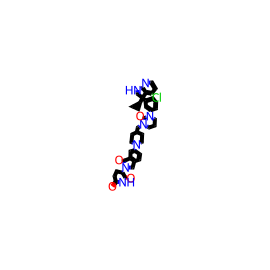 O=C1CCC(N2Cc3ccc(N4CCC(CN5CCCN(c6cccc(C7(C8CC8)CNc8nccc(Cl)c87)c6)C5=O)CC4)cc3C2=O)C(=O)N1